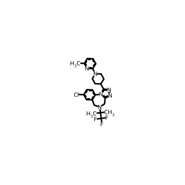 Cc1cccc(N2CCC(c3nnc4n3-c3ccc(Cl)cc3CN(C(C)(C)C(F)(F)F)C4)CC2)n1